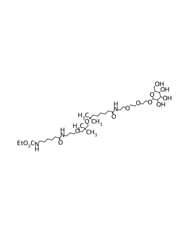 CCOC(=O)NCCCCCC(=O)NCCCOCC(C)(C)COC(C)(C)CCCCCC(=O)NCCOCCOCCOC1OC(CO)C(O)C(O)C1O